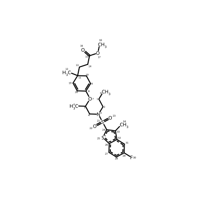 CCCN(CC(C)OC1=CCC(C)(CCC(=O)OC)C=C1)S(=O)(=O)c1sc2ccc(F)cc2c1C